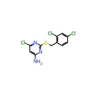 Nc1cc(Cl)nc(SCc2ccc(Cl)cc2Cl)n1